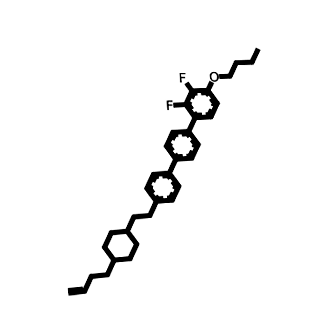 C=CCCC1CCC(CCc2ccc(-c3ccc(-c4ccc(OCCCC)c(F)c4F)cc3)cc2)CC1